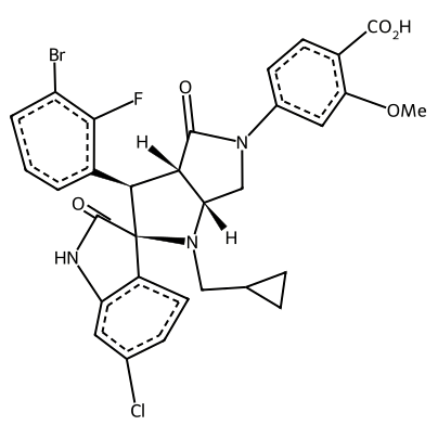 COc1cc(N2C[C@H]3[C@@H](C2=O)[C@H](c2cccc(Br)c2F)[C@]2(C(=O)Nc4cc(Cl)ccc42)N3CC2CC2)ccc1C(=O)O